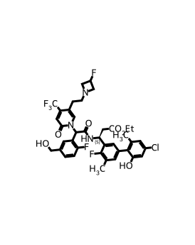 CCOC(=O)C[C@H](NC(=O)C(c1cc(CO)ccc1F)n1cc(CCN2CC(F)C2)c(C(F)(F)F)cc1=O)c1cc(-c2c(C)cc(Cl)cc2O)cc(C)c1F